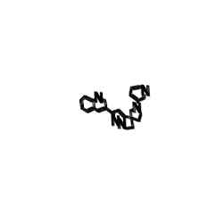 c1cncc(N2CCC3(CCn4nc(-c5cnc6ccccc6c5)cc43)C2)c1